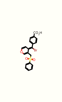 O=C(O)c1ccc(C(Br)=C2C=COC=C2CS(=O)(=O)c2ccccc2)cc1